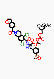 CC(=O)OCC(COC(C)=O)COC(=O)OC(C)OC(=O)[C@H](Cc1cccc([S+](C)[O-])c1)NC(=O)c1c(Cl)cc2c(c1Cl)CCN(C(=O)c1ccc3ccoc3c1)C2